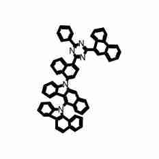 c1ccc(-c2nc(-c3ccc(-n4c5ccccc5c5c(-n6c7ccccc7c7ccc8ccccc8c76)c6ccccc6cc54)c4ccccc34)nc(-c3cc4ccccc4c4ccccc34)n2)cc1